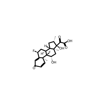 C[C@H]1C[C@H]2[C@@H]3C[C@H](F)C4=CC(=O)C=C[C@]4(C)[C@@]3(F)[C@@H](O)C[C@]2(C)[C@@]1(O)C(=O)C(=O)O